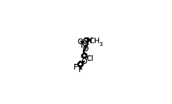 CN1CCn2c1cc(OCc1ccc(Oc3ccc(F)c(F)c3)c(Cl)c1)nc2=O